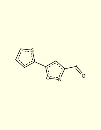 O=[C]c1cc(-c2cccs2)on1